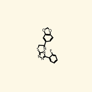 Fc1ccccc1-c1nnc2n1N=C(c1ccc3c(c1)OCO3)CS2